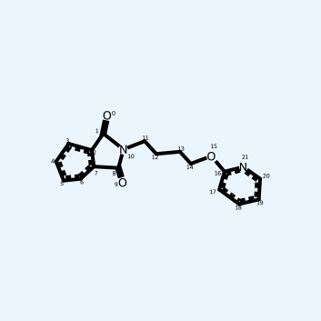 O=C1c2ccccc2C(=O)N1CCCCOc1ccccn1